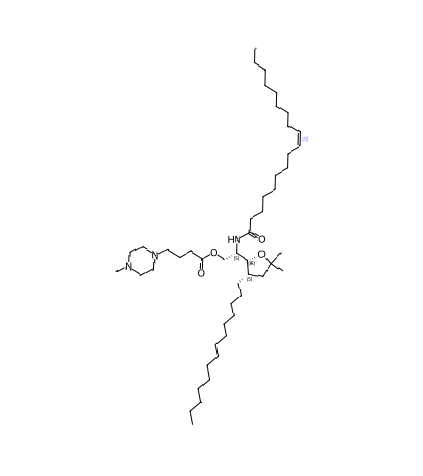 CCCCCCCC/C=C\CCCCCCCC(=O)N[C@@H](COC(=O)CCCN1CCN(C)CC1)[C@@H]1OC(C)(C)C[C@@H]1CCCCCCCCCCCCCC